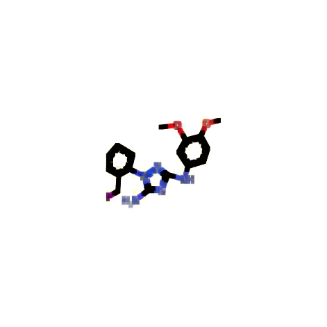 COc1ccc(Nc2nc(N)n(-c3ccccc3CI)n2)cc1OC